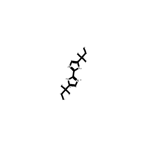 CCC(C)(C)c1cnc(-c2ncc(C(C)(C)CC)s2)s1